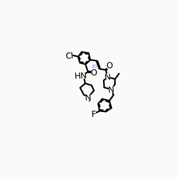 CC1CN(Cc2ccc(F)cc2)CCN1C(=O)/C=C/c1ccc(Cl)cc1C(=O)NC1CCN(C)CC1